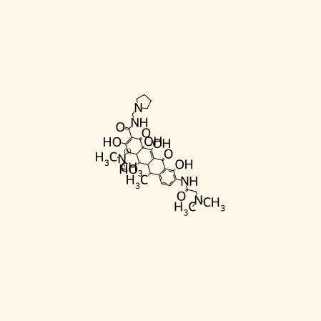 CC1c2ccc(NC(=O)CN(C)C)c(O)c2C(=O)C2=C(O)C3(O)C(=O)C(C(=O)NCN4CCCC4)=C(O)[C@@H](N(C)C)C3C(O)C21